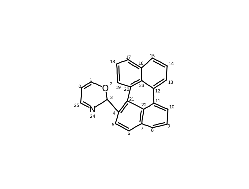 C1=COC(c2ccc3cccc4c5cccc6cccc(c2c34)c65)N=C1